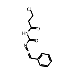 O=C(CCCl)NC(=O)N=C=Cc1ccccc1